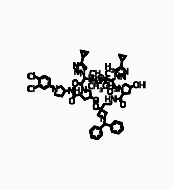 CC(C)(C)C(C(=O)N1CC(O)CC1C(=O)NCCC1(OOC2CC(C(=O)NC3CCN(c4ccc(Cl)c(Cl)c4)C3)N(C(=O)C(n3cc(C4CC4)nn3)C(C)(C)C)C2)CN(C(c2ccccc2)c2ccccc2)C1)n1cc(C2CC2)nn1